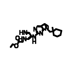 CCOC(=O)CN/C=C(\C=N)Nc1ncc2ccn(CC3(C)CCCCC3)c2n1